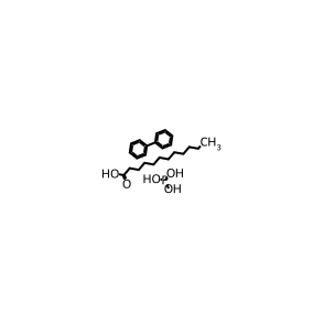 CCCCCCCCCCCC(=O)O.OP(O)O.c1ccc(-c2ccccc2)cc1